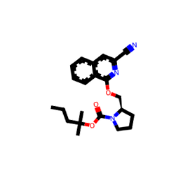 CCCC(C)(C)OC(=O)N1CCC[C@@H]1COc1nc(C#N)cc2ccccc12